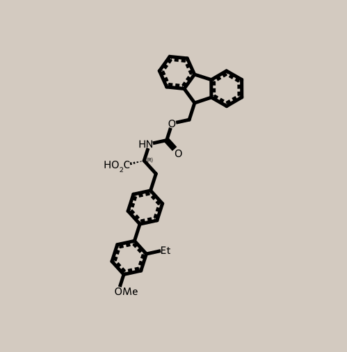 CCc1cc(OC)ccc1-c1ccc(C[C@@H](NC(=O)OCC2c3ccccc3-c3ccccc32)C(=O)O)cc1